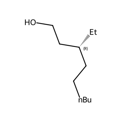 CCCCCC[C@@H](CC)CCO